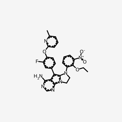 CCOc1c(N2CCn3c2c(-c2ccc(Oc4cccc(C)n4)c(F)c2)c2c(N)ncnc23)cccc1[N+](=O)[O-]